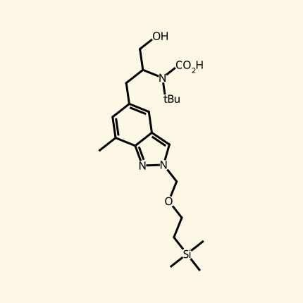 Cc1cc(CC(CO)N(C(=O)O)C(C)(C)C)cc2cn(COCC[Si](C)(C)C)nc12